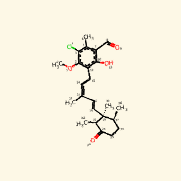 COc1c(Cl)c(C)c(C=O)c(O)c1CC=C(C)C=C[C@]1(C)[C@H](C)C(=O)CC[C@@H]1C